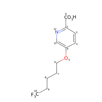 O=C(O)c1ccc(OCCCCC(F)(F)F)cn1